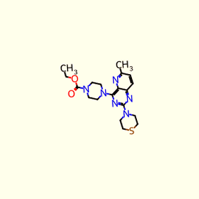 CCOC(=O)N1CCN(c2nc(N3CCSCC3)nc3ccc(C)nc23)CC1